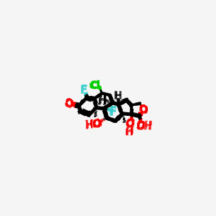 C[C@@H]1C[C@H]2[C@@H]3C[C@H](Cl)C4=C(F)C(=O)C=C[C@]4(C)[C@@]3(F)[C@@H](O)C[C@]2(C)[C@@]1(O)C(=O)O